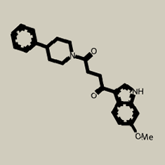 COc1ccc2c(C(=O)CCC(=O)N3CCC(c4ccccc4)CC3)c[nH]c2c1